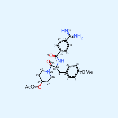 COc1ccc(C[C@H](NC(=O)c2ccc(C(=N)N)cc2)C(=O)N2CCC(OOC(C)=O)CC2)cc1